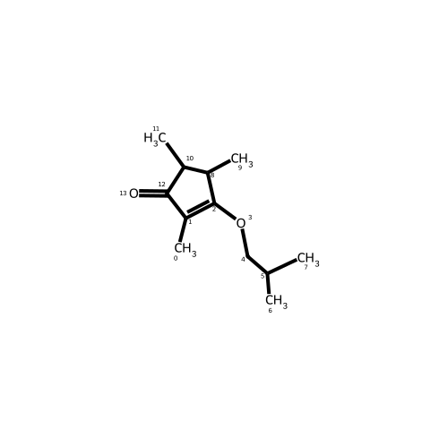 CC1=C(OCC(C)C)C(C)C(C)C1=O